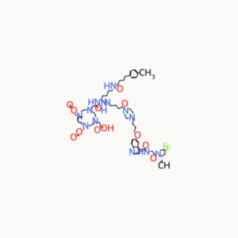 C#C[C@H]1CC(F)(F)CN1C(=O)CNC(=O)c1ccnc2ccc(OCCCCN3CCN(C(=O)CC/C=N/NC(CCCCNC(=O)CCCc4ccc(C)cc4)NC(=O)CN4CCN(COC=O)CCN(COC=O)CCN(CC(=O)O)CC4)CC3)cc12